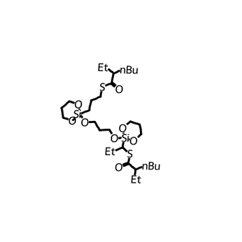 CCCCC(CC)C(=O)SCCC[Si]1(OCCCO[Si]2(C(CC)SC(=O)C(CC)CCCC)OCCCO2)OCCCO1